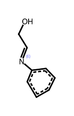 OC/C=N/c1ccccc1